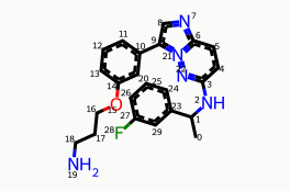 CC(Nc1ccc2ncc(-c3cccc(OCCCN)c3)n2n1)c1cccc(F)c1